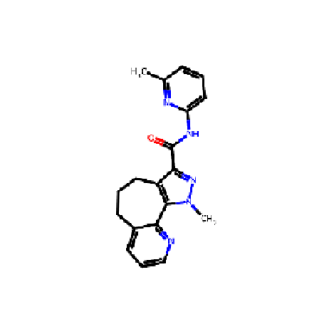 Cc1cccc(NC(=O)c2nn(C)c3c2CCCc2cccnc2-3)n1